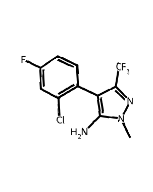 Cn1nc(C(F)(F)F)c(-c2ccc(F)cc2Cl)c1N